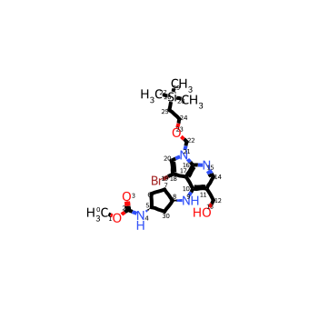 COC(=O)N[C@@H]1CC[C@@H](Nc2c(CO)cnc3c2c(Br)cn3COCC[Si](C)(C)C)C1